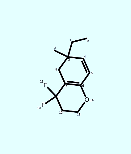 CCC1(C)C=CC2=C(C1)C(F)(F)CCO2